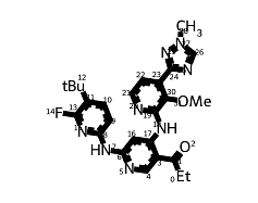 CCC(=O)c1cnc(Nc2ccc(C(C)(C)C)c(F)n2)cc1Nc1nccc(-c2ncn(C)n2)c1OC